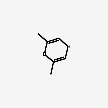 CC1=C[C]C=C(C)O1